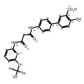 [2H]C([2H])([2H])Oc1cccc(NC(=O)CC(=O)Nc2ccc(-c3ccc(O)c(C(=O)O)c3)cc2)n1